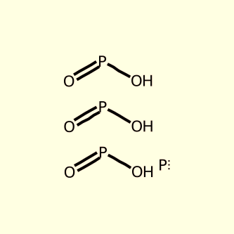 O=PO.O=PO.O=PO.[P]